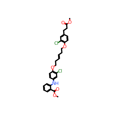 COC(=O)CCc1ccc(OCC/C=C/CCOc2ccc(Nc3ccccc3C(=O)OC)cc2Cl)c(Cl)c1